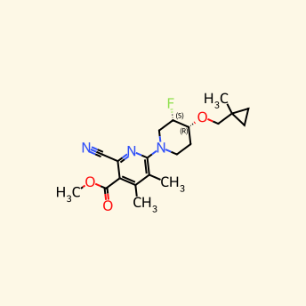 COC(=O)c1c(C#N)nc(N2CC[C@@H](OCC3(C)CC3)[C@@H](F)C2)c(C)c1C